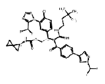 CC(C)(C)CCNC(=N)N(C(=O)c1ccc(-c2cnn(C(F)F)c2)cc1)[C@H](COC(=O)N[C@H]1CC12CC2)c1ccc(Cl)c(-n2ncnc2C(F)F)c1